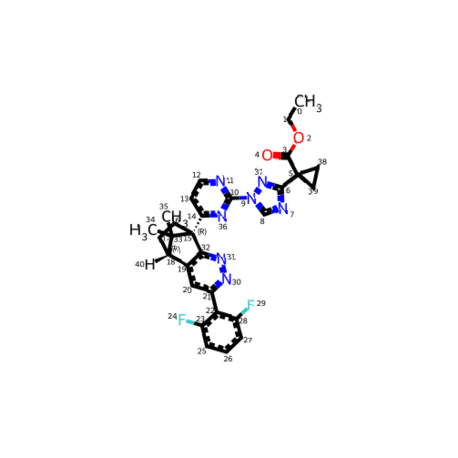 CCOC(=O)C1(c2ncn(-c3nccc([C@]45CC[C@@H](c6cc(-c7c(F)cccc7F)nnc64)C5(C)C)n3)n2)CC1